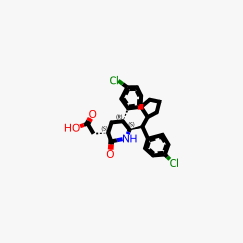 O=C(O)C[C@@H]1C[C@H](c2cccc(Cl)c2)[C@@H](C(c2ccc(Cl)cc2)C2CCCC2)NC1=O